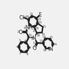 NC(=O)[C@H](c1ccccc1)N(C(=O)c1cccnc1)[C@@H]1CCc2c(F)cc(Cl)cc21